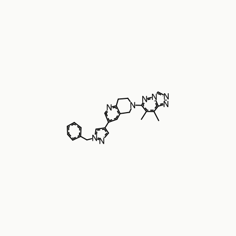 Cc1c(N2CCc3ncc(-c4cnn(Cc5ccccc5)c4)cc3C2)nn2cnnc2c1C